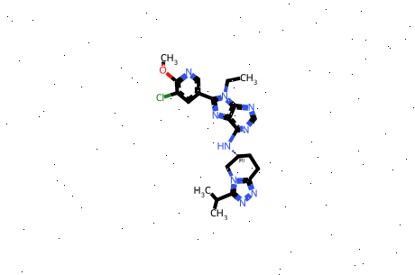 CCn1c(-c2cnc(OC)c(Cl)c2)nc2c(N[C@@H]3CCc4nnc(C(C)C)n4C3)ncnc21